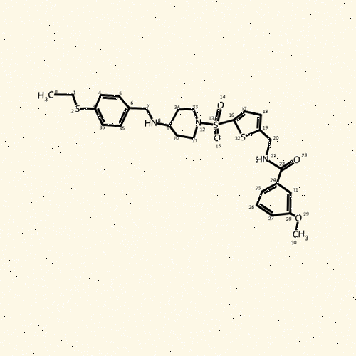 CCSc1ccc(CNC2CCN(S(=O)(=O)c3ccc(CNC(=O)c4cccc(OC)c4)s3)CC2)cc1